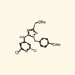 COCc1nc(Nc2cc(Cl)nc(Cl)c2)n(Cc2ccc(OC)cc2)n1